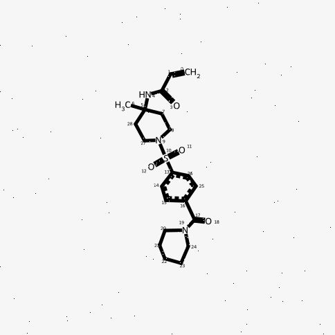 C=CC(=O)NC1(C)CCN(S(=O)(=O)c2ccc(C(=O)N3CCCCC3)cc2)CC1